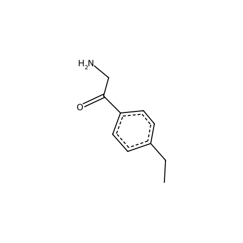 CCc1ccc(C(=O)CN)cc1